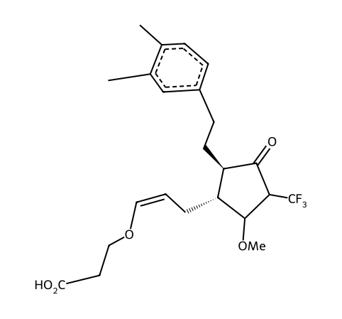 COC1C(C(F)(F)F)C(=O)[C@H](CCc2ccc(C)c(C)c2)[C@H]1C/C=C\OCCC(=O)O